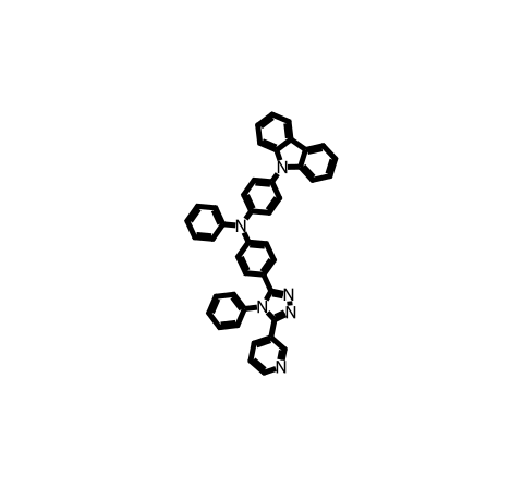 c1ccc(N(c2ccc(-c3nnc(-c4cccnc4)n3-c3ccccc3)cc2)c2ccc(-n3c4ccccc4c4ccccc43)cc2)cc1